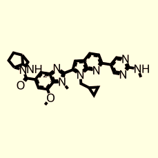 CNc1ncc(-c2ccc3cc(-c4nc5cc(C(=O)N6CC7CCC6C7N)cc(OC)c5n4C)n(CC4CC4)c3n2)cn1